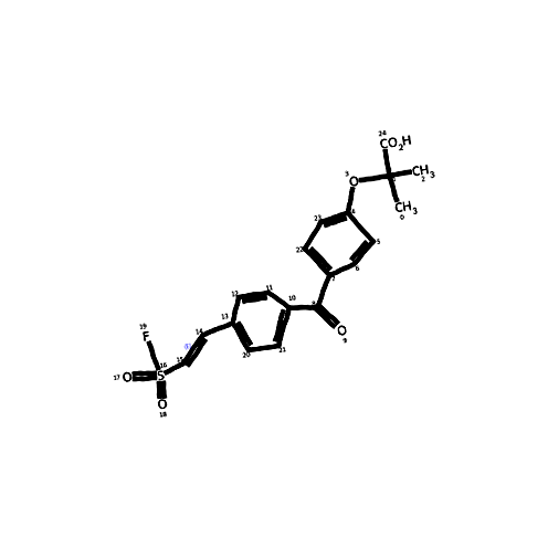 CC(C)(Oc1ccc(C(=O)c2ccc(/C=C/S(=O)(=O)F)cc2)cc1)C(=O)O